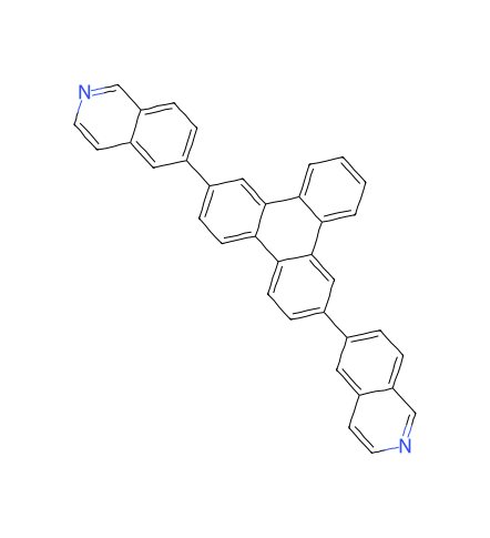 c1ccc2c(c1)c1cc(-c3ccc4cnccc4c3)ccc1c1ccc(-c3ccc4cnccc4c3)cc21